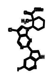 COC(=O)[C@]1(C)CCCC[C@H]1n1cc(Cl)c2cnc(-c3c[nH]c4ncc(F)cc34)nc21